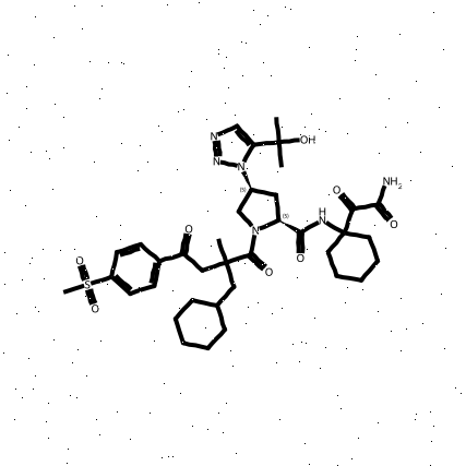 CC(CC(=O)c1ccc(S(C)(=O)=O)cc1)(CC1CCCCC1)C(=O)N1C[C@@H](n2nncc2C(C)(C)O)C[C@H]1C(=O)NC1(C(=O)C(N)=O)CCCCC1